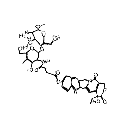 CC[C@@]1(O)C(=O)OCc2c1cc1n(c2=O)Cc2cc3cc(OC(=O)CCC(=O)NC4C(OC5C(CO)OC(OC)C(N)C5O)OC(CO)C(C)C4O)ccc3nc2-1